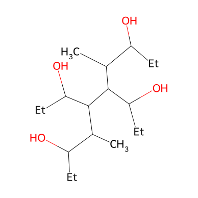 CCC(O)C(C)C(C(O)CC)C(C(O)CC)C(C)C(O)CC